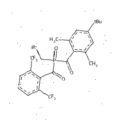 Cc1cc(C(C)(C)C)cc(C)c1C(=O)P(=O)(CC(C)C)C(=O)c1c(C(F)(F)F)cccc1C(F)(F)F